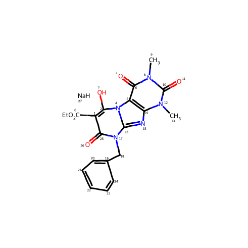 CCOC(=O)c1c(O)n2c3c(=O)n(C)c(=O)n(C)c3nc2n(Cc2ccccc2)c1=O.[NaH]